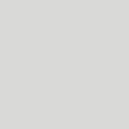 CCS(=O)(=O)CC(C)N1CCc2c1ccc(C#N)c2C(F)(F)F